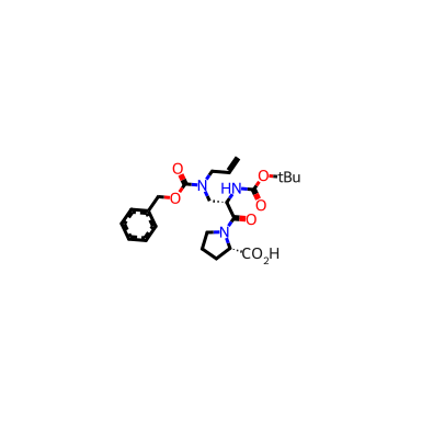 C=CCN(C[C@H](NC(=O)OC(C)(C)C)C(=O)N1CCC[C@H]1C(=O)O)C(=O)OCc1ccccc1